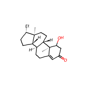 CC[C@H]1CC[C@H]2[C@@H]3CCC4=CC(=O)CC(O)[C@]4(C)[C@H]3CC[C@]12C